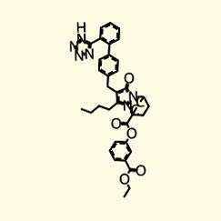 CCCCc1c(Cc2ccc(-c3ccccc3-c3nnn[nH]3)cc2)c(=O)n2n1C1(C(=O)Oc3cccc(C(=O)OCC)c3)CCC2CC1